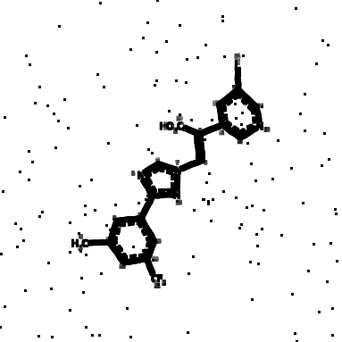 Cc1cc(-c2ncn(/C=C(\C(=O)O)c3cncc(F)c3)n2)cc(C(F)(F)F)c1